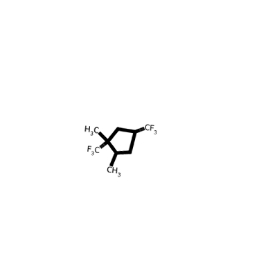 CC1CC(C(F)(F)F)CC1(C)C(F)(F)F